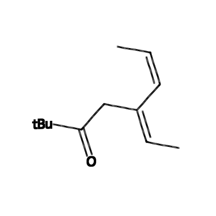 C/C=C\C(=C/C)CC(=O)C(C)(C)C